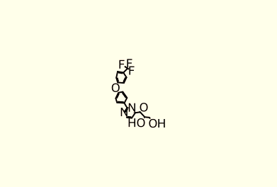 O=C(c1ccnc(-c2ccc(Oc3ccc(C(F)(F)F)cc3)cc2)n1)[C@@H](O)CO